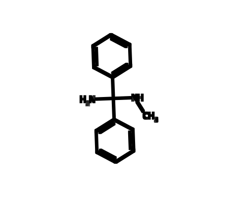 CNC(N)(c1ccccc1)c1ccccc1